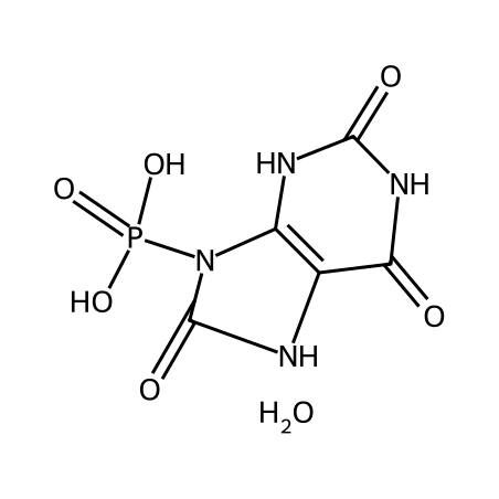 O.O=c1[nH]c(=O)c2[nH]c(=O)n(P(=O)(O)O)c2[nH]1